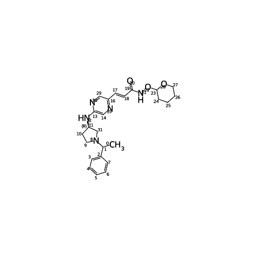 CC(c1ccccc1)N1CC[C@@H](Nc2cnc(C=CC(=O)NOC3CCCCO3)cn2)C1